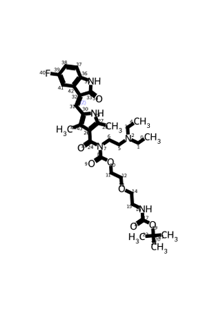 CCN(CC)CCN(C(=O)OCCOCCNC(=O)OC(C)(C)C)C(=O)c1c(C)[nH]c(/C=C2\C(=O)Nc3ccc(F)cc32)c1C